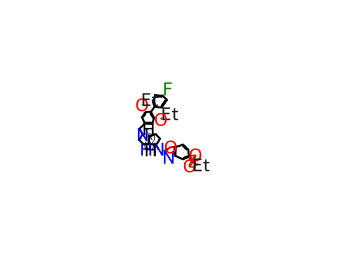 CCOc1cc(CN2CC[C@H]3C(Nc4nc5cc(S(=O)(=O)CC)ccc5o4)CC[C@H]32)cc(OCC)c1-c1ccc(F)cc1